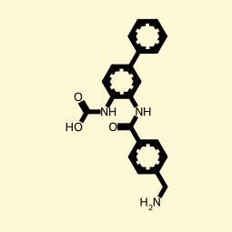 NCc1ccc(C(=O)Nc2cc(-c3ccccc3)ccc2NC(=O)O)cc1